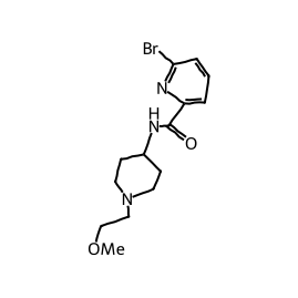 COCCN1CCC(NC(=O)c2cccc(Br)n2)CC1